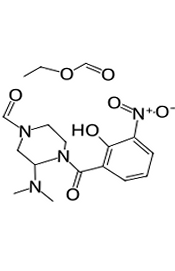 CCOC=O.CN(C)C1CN(C=O)CCN1C(=O)c1cccc([N+](=O)[O-])c1O